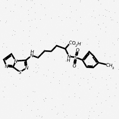 Cc1ccc(S(=O)(=O)NC(CCCCNc2nsc3nccn23)C(=O)O)cc1